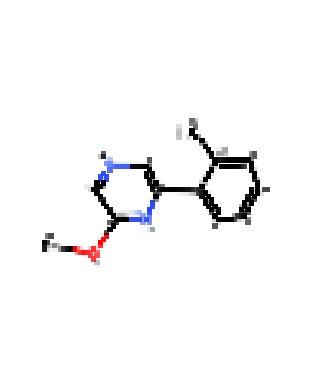 CCOc1cncc(-c2ccccc2C)n1